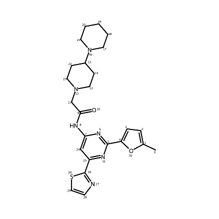 Cc1ccc(-c2nc(NC(=O)CN3CCC(N4CCCCC4)CC3)cc(-c3nccs3)n2)o1